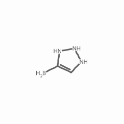 BC1=CNNN1